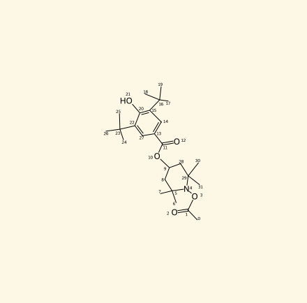 CC(=O)ON1C(C)(C)CC(OC(=O)c2cc(C(C)(C)C)c(O)c(C(C)(C)C)c2)CC1(C)C